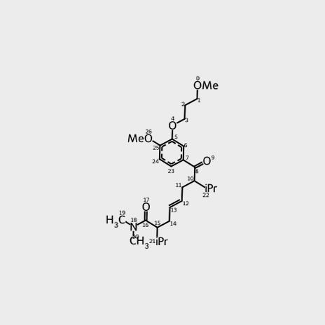 COCCCOc1cc(C(=O)C(CC=CCC(C(=O)N(C)C)C(C)C)C(C)C)ccc1OC